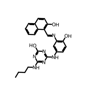 CCCCNc1nc(O)nc(Nc2ccc(O)c(N=Cc3c(O)ccc4ccccc34)c2)n1